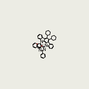 c1ccc(-c2nc(-c3ccccc3)nc(-n3c4ccccc4c4c(C5CCCCC5)c(C5CCCCC5)c5c6ccccc6n(-c6ccccc6)c5c43)n2)cc1